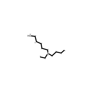 CCCCN(CC)CCCCCO